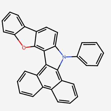 c1ccc(-n2c3ccc4c5ccccc5oc4c3c3c4ccccc4c4ccccc4c32)cc1